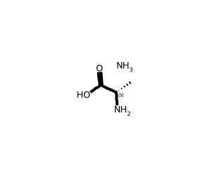 C[C@H](N)C(=O)O.N